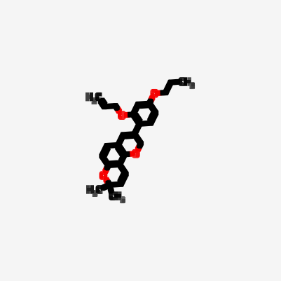 C=CCOc1cc(OCCC)ccc1C1=Cc2ccc3c(c2OC1)C=CC(C)(C)O3